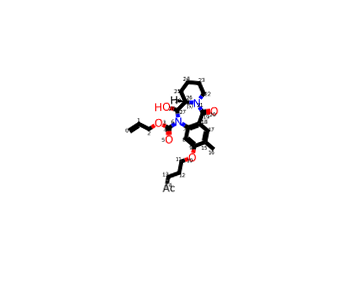 C=CCOC(=O)N1c2cc(OCCCC(C)=O)c(C)cc2C(=O)N2CCCC[C@H]2C1O